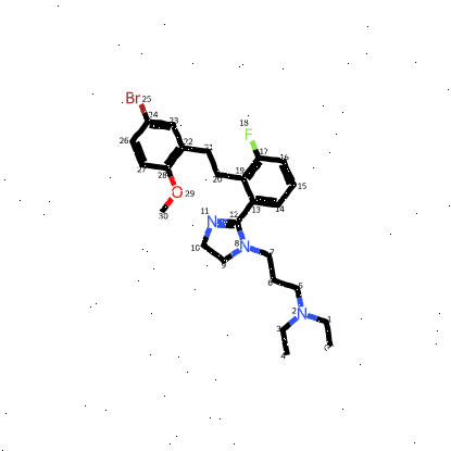 CCN(CC)CCCN1CCN=C1c1cccc(F)c1CCc1cc(Br)ccc1OC